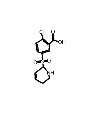 O=C(O)c1cc(S(=O)(=O)C2C=CCCN2)ccc1Cl